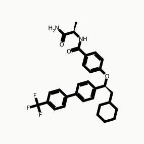 C[C@@H](NC(=O)c1ccc(O[C@@H](CC2CCCCC2)c2ccc(-c3ccc(C(F)(F)F)cc3)cc2)cc1)C(N)=O